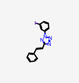 Ic1cccc(-n2nnc(C=Cc3ccccc3)n2)c1